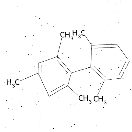 Cc1cc(C)c(-c2c(C)[c]ccc2C)c(C)c1